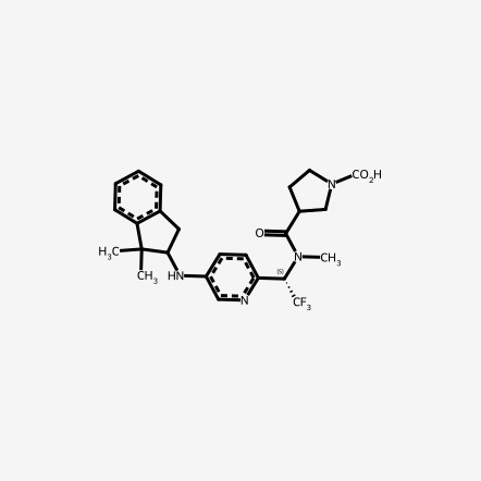 CN(C(=O)C1CCN(C(=O)O)C1)[C@@H](c1ccc(NC2Cc3ccccc3C2(C)C)cn1)C(F)(F)F